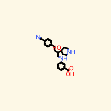 N#Cc1ccc(CCC(CNc2cccc(C(=O)O)c2)C2(O)CCNCC2)cc1